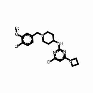 CCOc1cc(CN2CCC(Nc3nc(Cl)cc(N4CCC4)n3)CC2)ccc1Cl